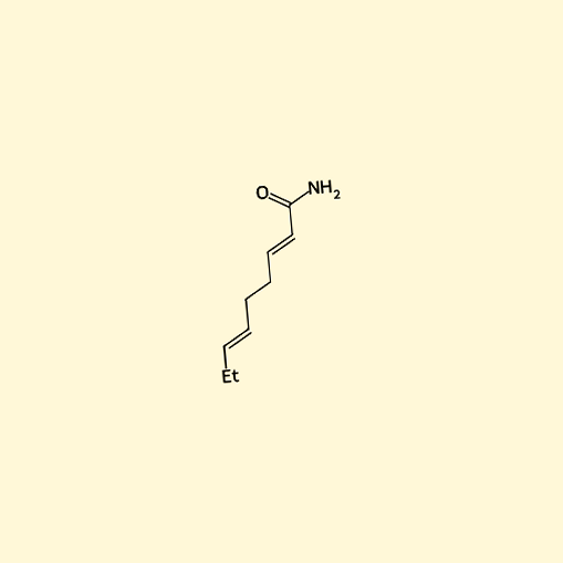 CCC=CCCC=CC(N)=O